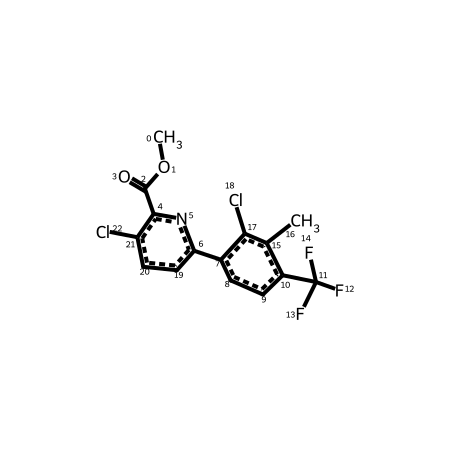 COC(=O)c1nc(-c2ccc(C(F)(F)F)c(C)c2Cl)ccc1Cl